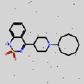 O=S1(=O)N=C(C2CCN(C3CCCCCCC3)CC2)c2ccccc2N1